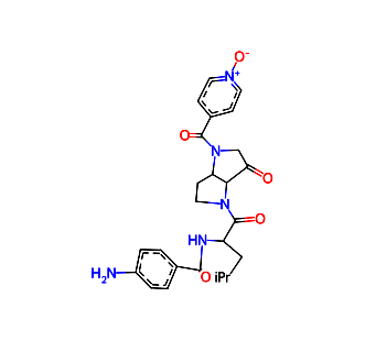 CC(C)CC(NC(=O)c1ccc(N)cc1)C(=O)N1CCC2C1C(=O)CN2C(=O)c1cc[n+]([O-])cc1